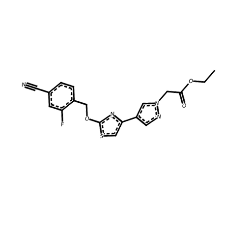 CCOC(=O)Cn1cc(-c2csc(OCc3ccc(C#N)cc3F)n2)cn1